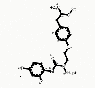 CCCCCCCN(CCOc1ccc(CC(OCC)C(=O)O)cc1)C(=O)Nc1ccc(F)cc1F